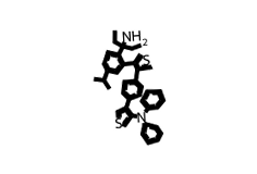 CCC(N)(CC)c1ccc(C(C)C)cc1-c1cscc1-c1ccc(-c2cscc2N(c2ccccc2)c2ccccc2)cc1